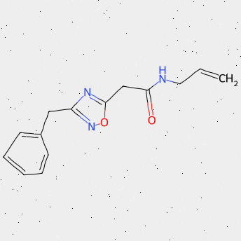 C=CCNC(=O)Cc1nc(Cc2ccccc2)no1